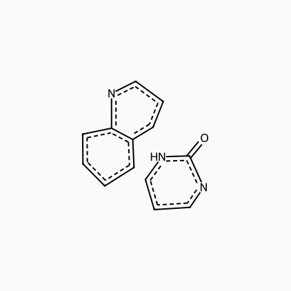 O=c1nccc[nH]1.c1ccc2ncccc2c1